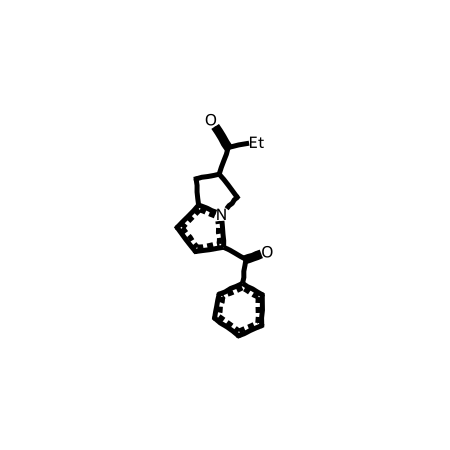 CCC(=O)C1Cc2ccc(C(=O)c3ccccc3)n2C1